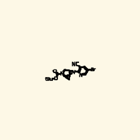 CC(C)(C)OC(=O)N1CC2N(c3ncc(Br)cc3C#N)C23CC13